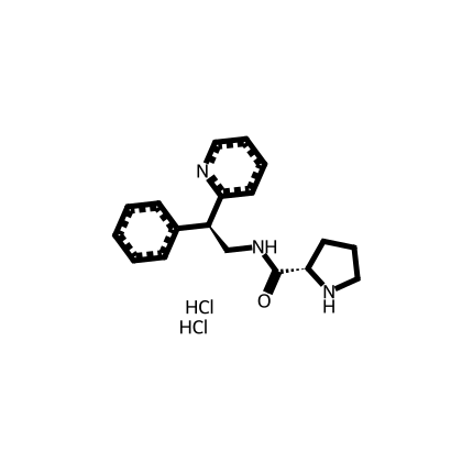 Cl.Cl.O=C(NC[C@@H](c1ccccc1)c1ccccn1)[C@@H]1CCCN1